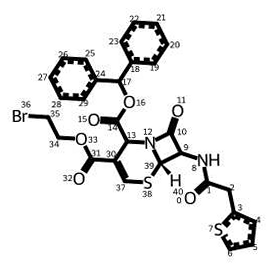 O=C(Cc1cccs1)NC1C(=O)N2C(C(=O)OC(c3ccccc3)c3ccccc3)C(C(=O)OCCBr)=CS[C@@H]12